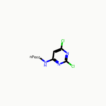 CCCCCNc1cc(Cl)nc(Cl)n1